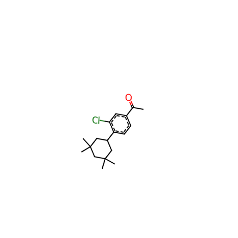 CC(=O)c1ccc(C2CC(C)(C)CC(C)(C)C2)c(Cl)c1